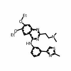 CCOc1cc2nc(CCN(C)C)nc(Nc3cccc(-c4csc(C)n4)c3)c2cc1OCC